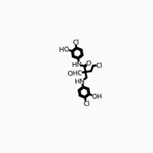 O=CC(CCCl)(CNc1ccc(Cl)c(O)c1)C(=O)Nc1ccc(Cl)c(O)c1